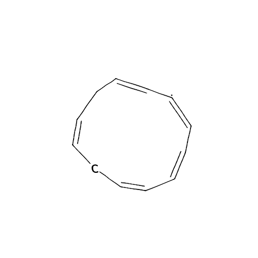 [C]1=CC=CC=CCC=CCC=C1